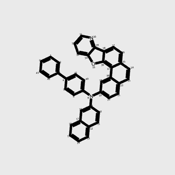 c1ccc(-c2ccc(N(c3ccc4ccccc4c3)c3ccc4ccc5ccc6c7ncccc7oc6c5c4c3)cc2)cc1